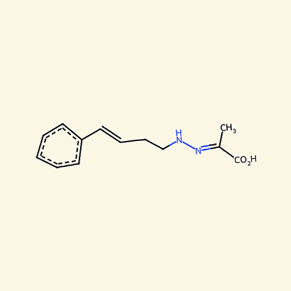 CC(=NNCCC=Cc1ccccc1)C(=O)O